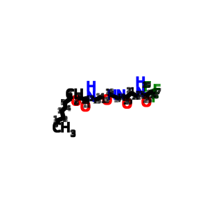 CCCCCCC(C)OCC(=O)NCCOCCNC(=O)CCNC(=O)C(F)(F)F